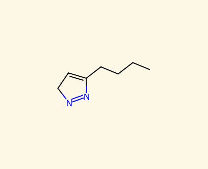 CCCCC1=CCN=N1